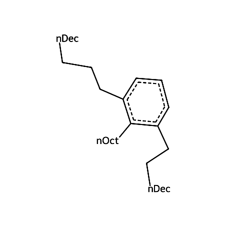 CCCCCCCCCCCCCc1cccc(CCCCCCCCCCCC)c1CCCCCCCC